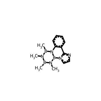 CB1N(C)B(C)N2B(N1C)n1ccnc1-c1ccccc12